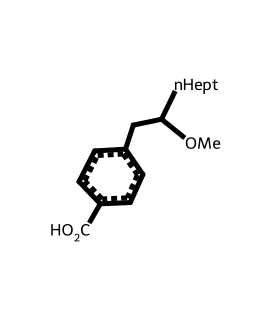 CCCCCCCC(Cc1ccc(C(=O)O)cc1)OC